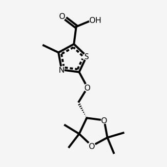 Cc1nc(OC[C@@H]2OC(C)(C)OC2(C)C)sc1C(=O)O